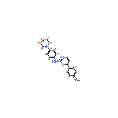 CC(=O)c1ccc(-c2ccnc(Nc3ccc(N4CCOCC4)cc3)n2)cc1